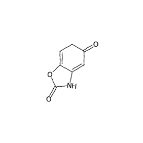 O=C1C=c2[nH]c(=O)oc2=CC1